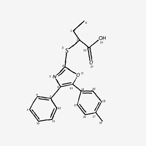 CCC(Sc1nc(-c2ccccc2)c(-c2ccc(C)cc2)o1)C(=O)O